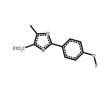 CCOC(=O)c1nc(-c2ccc(OF)cc2)oc1C